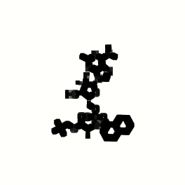 Cc1nc(N(C)C)c2ncn([C@@H]3O[C@H](CO[P@@](=S)(N[C@@H](C)C(=O)OCC(C)(C)C)Oc4cccc5ccccc45)[C@@H](O)[C@@]3(C)F)c2n1